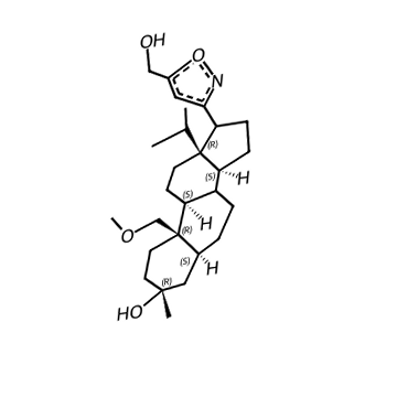 COC[C@]12CC[C@@](C)(O)C[C@@H]1CCC1[C@@H]3CCC(c4cc(CO)on4)[C@@]3(C(C)C)CC[C@@H]12